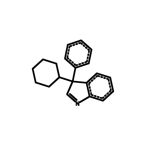 C1=Nc2ccccc2C1(c1ccccc1)C1CCCCC1